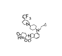 O=C1CCC(N2Cc3c(cccc3N(CCC3CC3)C3CCC(N4CCC(C(F)(F)F)C4)CC3)C2=O)C(=O)N1